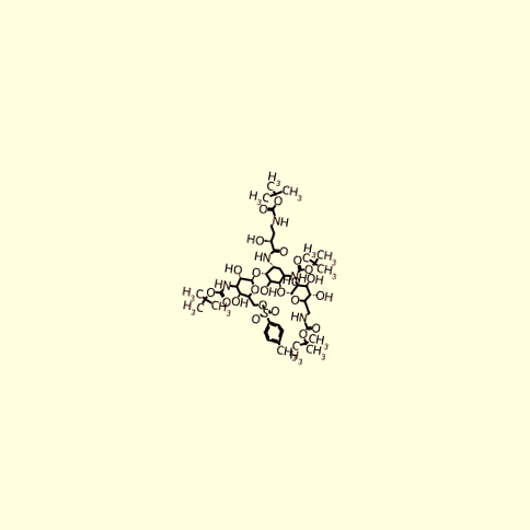 Cc1ccc(S(=O)(=O)OCC2O[C@H](O[C@H]3C(O)[C@H](O[C@H]4OC(CNC(=O)OC(C)(C)C)[C@@H](O)[C@H](O)C4O)C(NC(=O)OC(C)(C)C)C[C@H]3NC(=O)[C@@H](O)CCNC(=O)OC(C)(C)C)[C@@H](O)C(NC(=O)OC(C)(C)C)[C@@H]2O)cc1